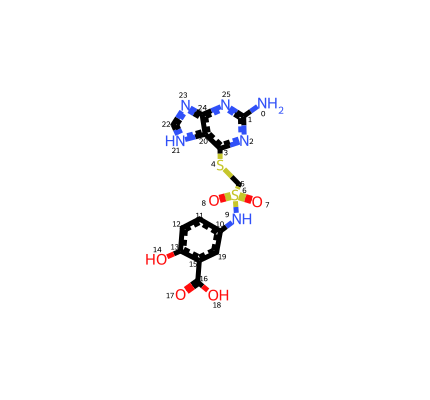 Nc1nc(SCS(=O)(=O)Nc2ccc(O)c(C(=O)O)c2)c2[nH]cnc2n1